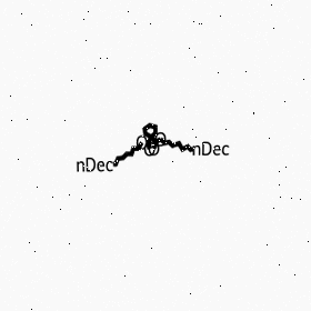 CCCCCCCCCCCCCCCCCOC(=O)C1(C(=O)OCCCCCCCCCCCCCCCCC)CCCCC1